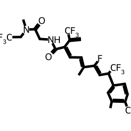 C=C(\C(=C/C=C(C)/C(F)=C/C(c1ccc(Cl)c(C)c1)C(F)(F)F)C(=O)NCC(=O)N(C)CC(F)(F)F)C(F)(F)F